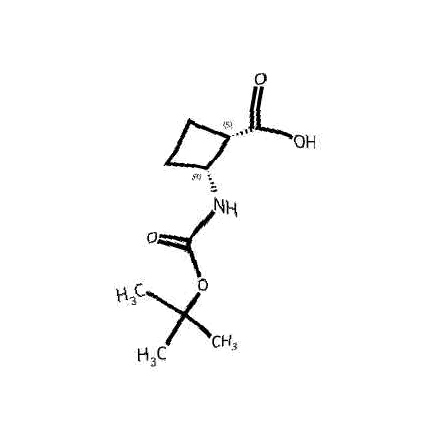 CC(C)(C)OC(=O)N[C@@H]1CC[C@@H]1C(=O)O